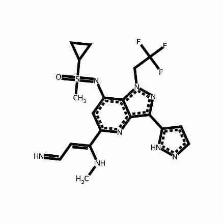 CN/C(=C\C=N)c1cc(N=S(C)(=O)C2CC2)c2c(n1)c(-c1ccn[nH]1)nn2CC(F)(F)F